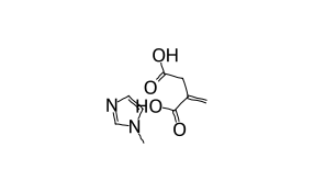 C=C(CC(=O)O)C(=O)O.Cn1ccnc1